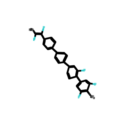 CCC/C(F)=C(\F)c1ccc(-c2ccc(-c3ccc(-c4cc(F)c(C(F)(F)F)c(F)c4)c(F)c3)cc2)cc1